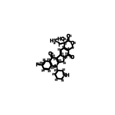 CC[C@@]1(O)C(=O)OCc2c1cc1n(c2=O)Cc2c-1c(=O)c1cc(F)ccc1n2[C@H]1CCCNC1